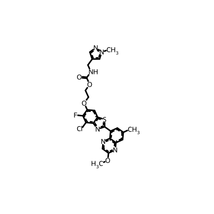 COc1cnc2c(-c3nc4c(Cl)c(F)c(OCCOC(=O)NCc5cnn(C)c5)cc4s3)cc(C)cc2n1